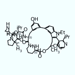 CCn1c(-c2cccnc2C(C)C)c2c3cc(ccc31)-c1cc(O)cc(c1)C[C@H](NC(=O)[C@H](C(C)C)N(C)C(=O)[C@]1(C)CCCN1C(=O)[C@H]1CN1)C(=O)N1CCC[C@H](N1)C(=O)OCC(C)(C)C2